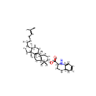 CC(C)=CCC[C@@H](C)[C@H]1CC[C@@]2(C)C3=C(CC[C@]12C)[C@@]1(C)CC[C@H](OC(=O)C2CCc4ccccc4N2)C(C)(C)C1CC3